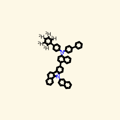 [2H]c1c([2H])c([2H])c(-c2ccc(N(c3ccc(-c4ccccc4)cc3)c3ccc(-c4ccc5c(c4)c4ccc6ccccc6c4n5-c4ccc5ccccc5c4)c4ccccc34)cc2)c([2H])c1[2H]